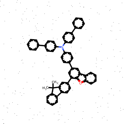 CC1(C)c2ccccc2-c2ccc(-c3cc(-c4ccc(N(c5ccc(-c6ccccc6)cc5)c5ccc(-c6ccccc6)cc5)cc4)cc4c3oc3ccccc34)cc21